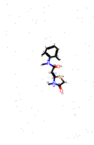 Cc1cccc(C)c1N(C)C(=O)/C=C1\SCC(=O)N1C